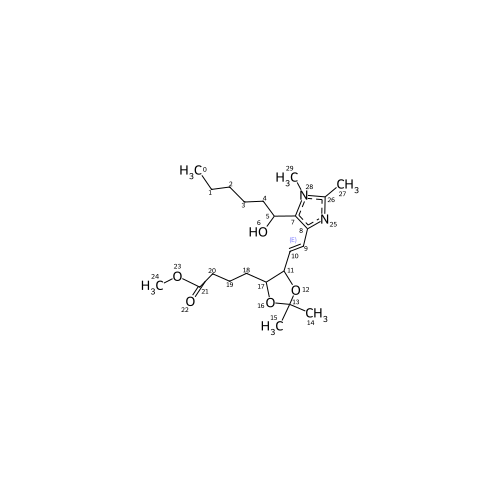 CCCCCC(O)c1c(/C=C/C2OC(C)(C)OC2CCCC(=O)OC)nc(C)n1C